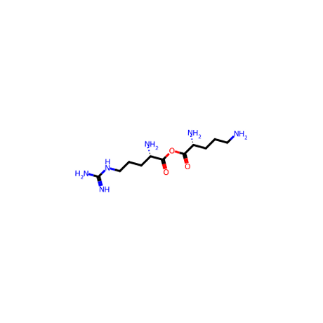 N=C(N)NCCC[C@H](N)C(=O)OC(=O)[C@H](N)CCCN